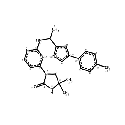 CC(Nc1nccc(N2CC(C)(C)NC2=O)n1)c1cn(-c2ccc(C(F)(F)F)cc2)cn1